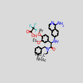 CCOC(=O)CN(Cc1cccc(NC(C)=O)c1)C(=O)C(Nc1ccc2c(N)nccc2c1)c1ccc(OC(C)C)c(OCC)c1.O=C(O)C(F)(F)F